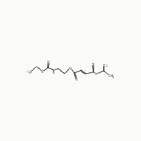 CCOC(=O)NCCOC(=O)/C=C/C(=O)OC(C)C